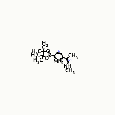 C=C(/C=C\C(=N)/C(C)=C\NC)B1OC(C)(C)C(C)(C)O1